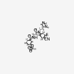 Cn1cncc1CCN(C(=O)CCNC(=O)c1cccc(OS(C)(=O)=O)c1)c1ccc(C#N)c(F)c1